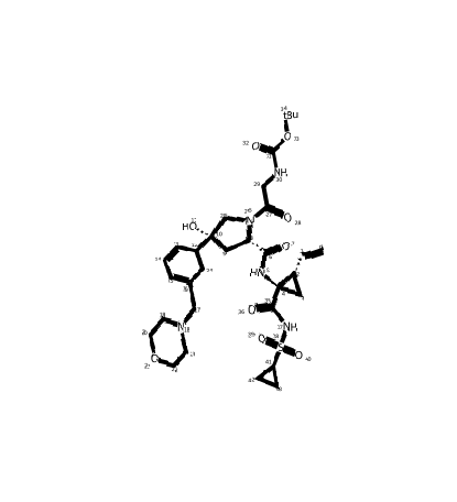 C=C[C@@H]1C[C@]1(NC(=O)[C@@H]1C[C@@](O)(C2C=CC=C(CN3CCOCC3)C2)CN1C(=O)CNC(=O)OC(C)(C)C)C(=O)NS(=O)(=O)C1CC1